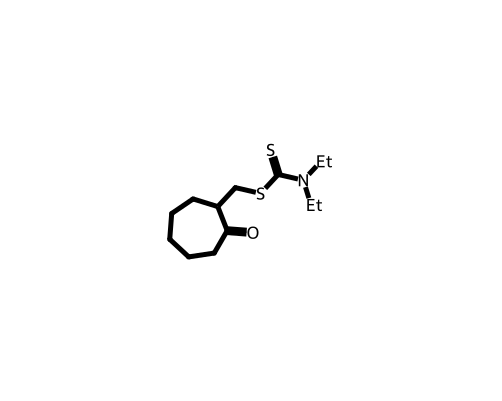 CCN(CC)C(=S)SCC1CCCCCC1=O